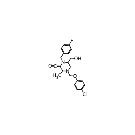 CC1C(=C=O)N(Cc2ccc(F)cc2)C(CO)CN1COc1ccc(Cl)cc1